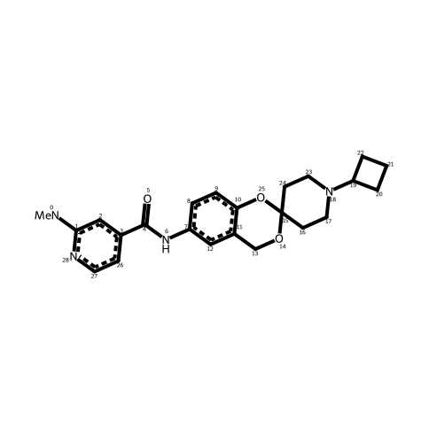 CNc1cc(C(=O)Nc2ccc3c(c2)COC2(CCN(C4CCC4)CC2)O3)ccn1